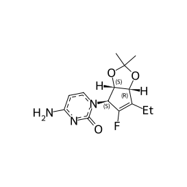 CCC1=C(F)[C@@H](n2ccc(N)nc2=O)[C@@H]2OC(C)(C)O[C@H]12